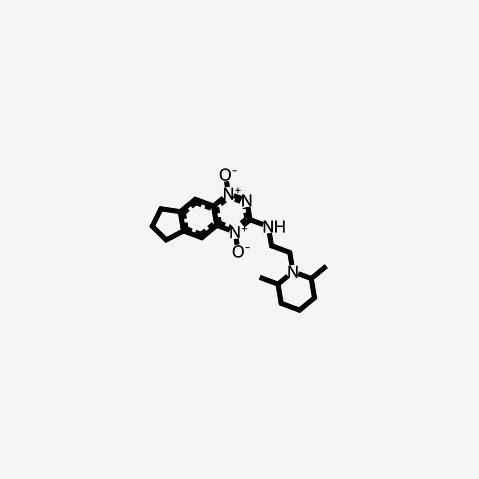 CC1CCCC(C)N1CCNc1n[n+]([O-])c2cc3c(cc2[n+]1[O-])CCC3